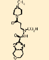 CN1CCN(C(=O)CCN(NC(=O)c2nc3c(s2)COCC3)C(=O)O)CC1